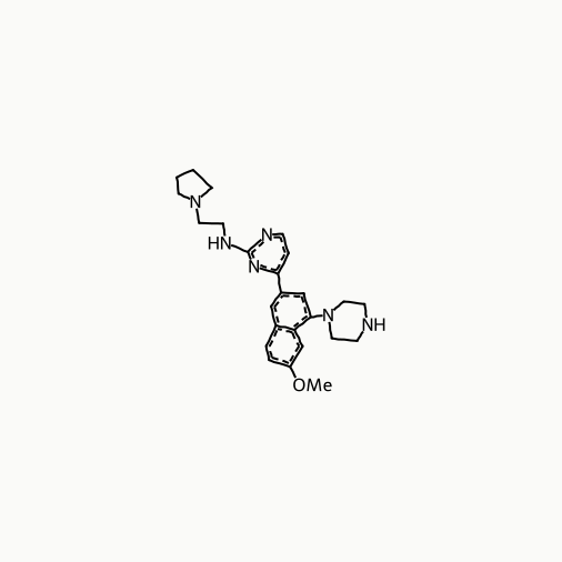 COc1ccc2cc(-c3ccnc(NCCN4CCCC4)n3)cc(N3CCNCC3)c2c1